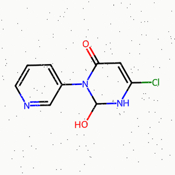 O=C1C=C(Cl)NC(O)N1c1cccnc1